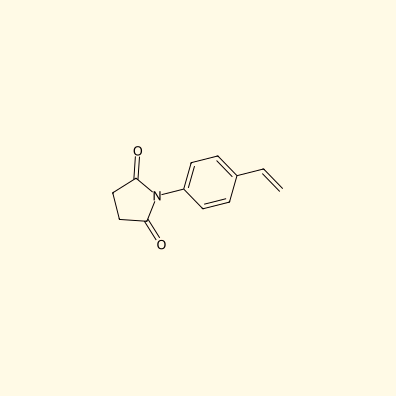 C=Cc1ccc(N2C(=O)CCC2=O)cc1